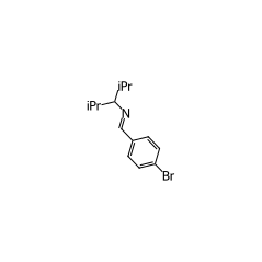 CC(C)C(N=Cc1ccc(Br)cc1)C(C)C